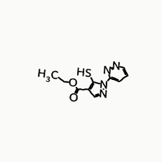 CCOC(=O)c1cnn(-c2cccnn2)c1S